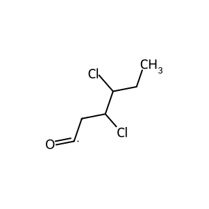 CCC(Cl)C(Cl)C[C]=O